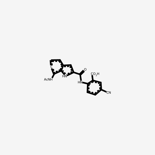 CC(=O)Nc1cccc2cc(C(=O)Nc3ccc(C#N)cc3C(=O)O)[nH]c12